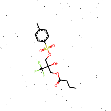 CCCC(=O)OCC(O)(COS(=O)(=O)c1ccc(C)cc1)C(F)(F)F